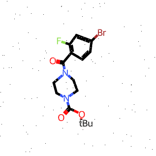 CC(C)(C)OC(=O)N1CCN(C(=O)c2ccc(Br)cc2F)CC1